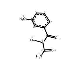 Cc1cccc(C(=O)N(N)C(N)=S)c1